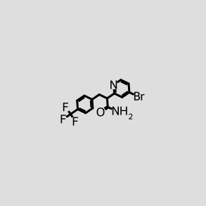 NC(=O)C(Cc1ccc(C(F)(F)F)cc1)c1cc(Br)ccn1